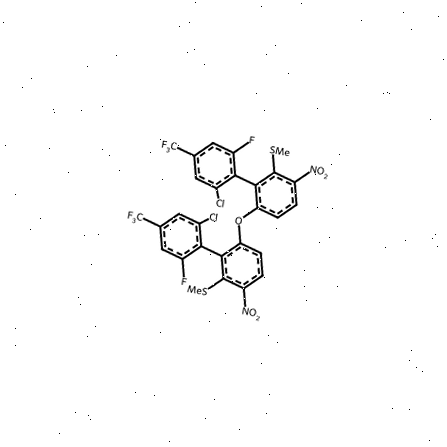 CSc1c([N+](=O)[O-])ccc(Oc2ccc([N+](=O)[O-])c(SC)c2-c2c(F)cc(C(F)(F)F)cc2Cl)c1-c1c(F)cc(C(F)(F)F)cc1Cl